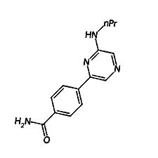 CCCNc1cncc(-c2ccc(C(N)=O)cc2)n1